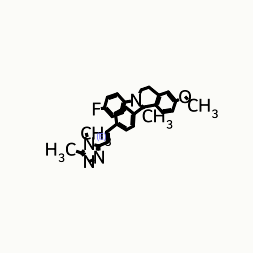 COc1ccc2c(c1)CCN(c1ccc(F)cc1)C2(C)c1ccc(/C=C/c2nnc(C)n2C)cc1